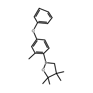 Cc1cc(Oc2ccccc2)ccc1B1CC(C)(C)C(C)(C)O1